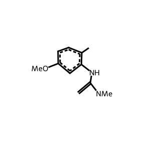 C=C(NC)Nc1cc(OC)ccc1C